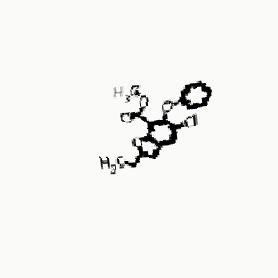 CCc1cc2cc(Cl)c(Oc3ccccc3)c(C(=O)OC)c2o1